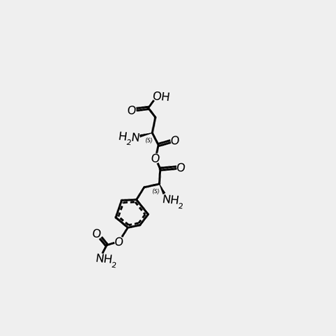 NC(=O)Oc1ccc(C[C@H](N)C(=O)OC(=O)[C@@H](N)CC(=O)O)cc1